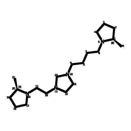 C[C@@H]1CCCN1CCCCN1CCN(CCN2CCC[C@H]2C)C1